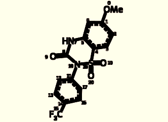 COc1ccc2c(c1)NC(=O)N(c1ccc(C(F)(F)F)cc1)S2(=O)=O